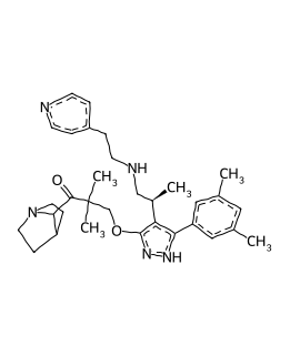 Cc1cc(C)cc(-c2[nH]nc(OCC(C)(C)C(=O)C3C4CCN3CC4)c2[C@H](C)CNCCc2ccncc2)c1